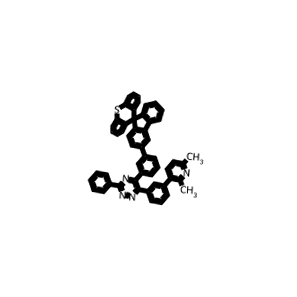 Cc1ccc(-c2cccc(-c3nnc(-c4ccccc4)nc3-c3cccc(-c4ccc5c(c4)-c4ccccc4C54c5ccccc5Sc5ccccc54)c3)c2)c(C)n1